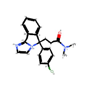 CCCN(CCC)C(=O)CCC1(c2ccc(Cl)cc2)c2ccccc2-c2nccn21